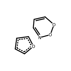 C1=COON=C1.c1ccoc1